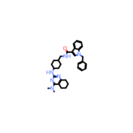 CN(C)c1nc(NC2CCC(CNC(=O)c3cn(Cc4ccccc4)c4ccccc34)CC2)nc2c1CCCC2